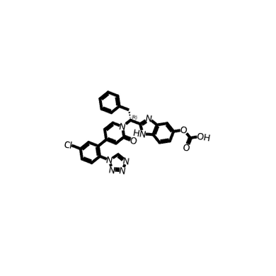 O=C(O)Oc1ccc2[nH]c([C@@H](Cc3ccccc3)n3ccc(-c4cc(Cl)ccc4-n4cnnn4)cc3=O)nc2c1